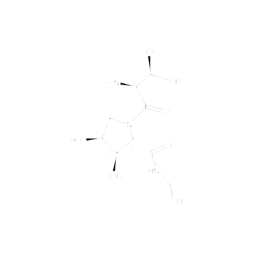 C[C@@H](O)[C@H](N)C(=O)N1C[C@H](C)[C@H](O)[C@H]1C(=O)NCO